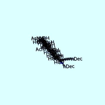 CCCCCCCCCCCCC/C=C/[C@@H](O)[C@H](CO[C@@H]1OC(CO)[C@@H](O[C@@H]2OC(CO)[C@H](O)[C@H](O[C@H]3OC(CO)[C@H](O)[C@H](O[C@@H]4OC(CO)[C@@H](O[C@@H]5OC(CO)[C@H](O)[C@H](O[C@]6(C(=O)O)CC(O)[C@@H](NC(C)=O)C([C@H](O)[C@H](O)CO)O6)C5O)[C@H](O)C4NC(C)=O)C3O)C2O)[C@H](O)C1O)NC(=O)CCCCCCCCCCCCCCCCCCC